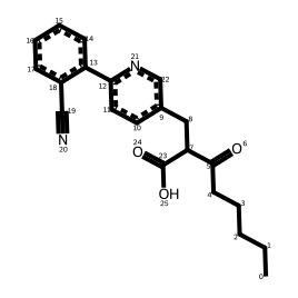 CCCCCC(=O)C(Cc1ccc(-c2ccccc2C#N)nc1)C(=O)O